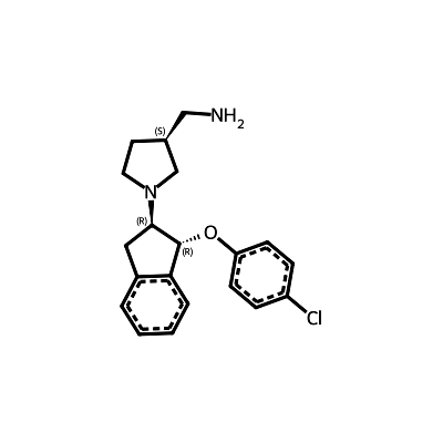 NC[C@@H]1CCN([C@@H]2Cc3ccccc3[C@H]2Oc2ccc(Cl)cc2)C1